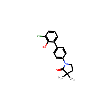 CC1(C)CCN(c2ccc(-c3cccc(Cl)c3O)cc2)C1=O